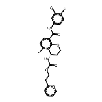 O=C(N[C@H]1CCOc2c(C(=O)Nc3ccc(F)c(Cl)c3)ccc(F)c21)OCCc1ccccn1